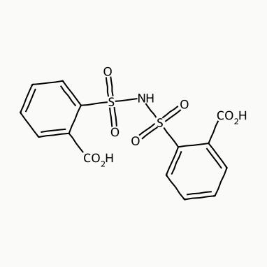 O=C(O)c1ccccc1S(=O)(=O)NS(=O)(=O)c1ccccc1C(=O)O